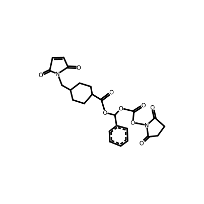 O=C(OC(OC(=O)C1CCC(CN2C(=O)C=CC2=O)CC1)c1ccccc1)ON1C(=O)CCC1=O